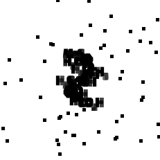 CSc1ccc(CC(C)(C)NCC(O)CO[C@H](C)c2cccc3c2O[C@@H]2[C@@H](C(=O)O)[C@H]32)cc1C